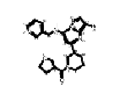 O=C(C1CCOC1)N1CCCC(c2cc(NCc3cccnc3)n3ncc(Br)c3n2)C1